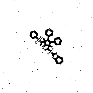 CC(C1(C)C(=O)C(C)(C(C)S(=O)(=O)c2nc3ccccc3s2)C(c2ccccc2)=C1c1ccccc1)S(=O)(=O)c1ccccc1